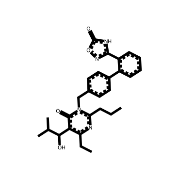 CCCc1nc(CC)c(C(O)C(C)C)c(=O)n1Cc1ccc(-c2ccccc2-c2noc(=O)[nH]2)cc1